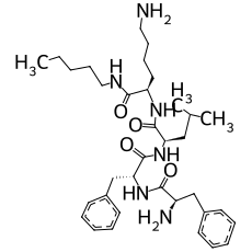 CCCCCNC(=O)[C@@H](CCCCN)NC(=O)[C@@H](CC(C)C)NC(=O)[C@@H](Cc1ccccc1)NC(=O)[C@H](N)Cc1ccccc1